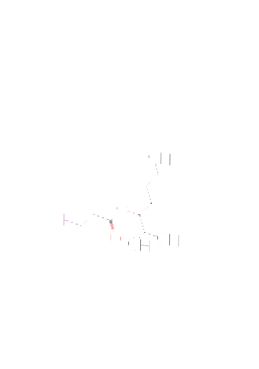 CCCCC(OC(=O)CCI)C(C)C